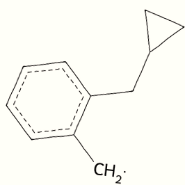 [CH2]c1ccccc1CC1CC1